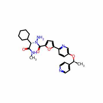 CNC(=O)[C@H](C1CCCCC1)N(N)C(=O)c1ccc(-c2ccc(O[C@@H](C)c3ccncc3)cn2)o1